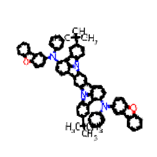 CC(C)(C)c1ccc2c(c1)c1c(N(c3ccccc3)c3ccc4oc5ccccc5c4c3)ccc3c4cc5c(cc4n2c31)c1ccc(N(c2ccccc2)c2ccc3oc4ccccc4c3c2)c2c3cc(C(C)(C)C)ccc3n5c12